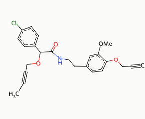 C#CCOc1ccc(CCNC(=O)C(OCC#CC)c2ccc(Cl)cc2)cc1OC